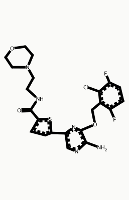 Nc1ncc(-c2ccc(C(=O)NCCN3CCOCC3)s2)nc1OCc1c(F)ccc(F)c1Cl